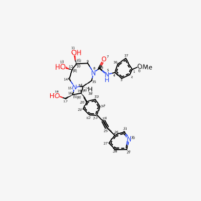 COc1ccc(NC(=O)N2C[C@H](O)[C@H](O)CN3[C@H](CO)[C@H](c4ccc(C#Cc5cccnc5)cc4)[C@@H]3C2)cc1